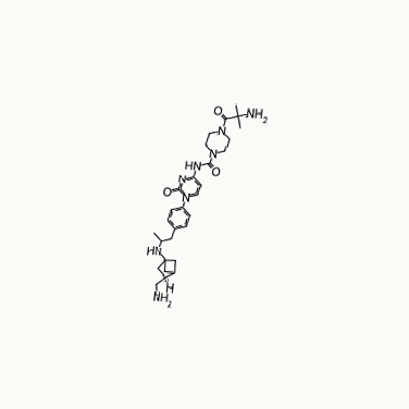 CC(Cc1ccc(-n2ccc(NC(=O)N3CCN(C(=O)C(C)(C)N)CC3)nc2=O)cc1)NC12CC(C1)[C@@H](CN)C2